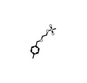 Cc1ccc(COCCOS(C)(=O)=O)cc1